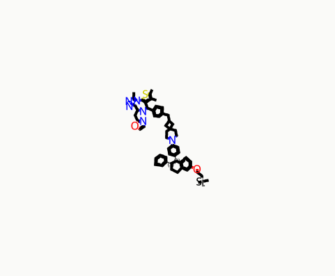 Cc1sc2c(c1C)C(c1ccc(CC3CC4(CCN(c5ccc([C@@H]6c7ccc(OCC[Si](C)(C)C)cc7CC[C@@H]6c6ccccc6)cc5)CC4)C3)cc1)=NC(Cc1ncco1)c1nnc(C)n1-2